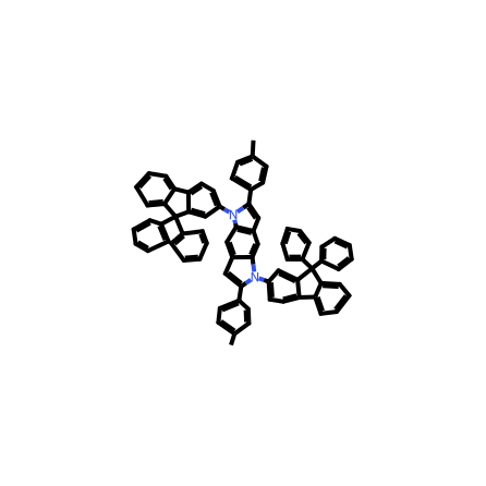 Cc1ccc(-c2cc3cc4c(cc(-c5ccc(C)cc5)n4-c4ccc5c(c4)C(c4ccccc4)(c4ccccc4)c4ccccc4-5)cc3n2-c2ccc3c(c2)C(c2ccccc2)(c2ccccc2)c2ccccc2-3)cc1